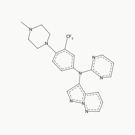 CN1CCN(c2ccc(N(c3ncccn3)c3cnn4ncccc34)cc2C(F)(F)F)CC1